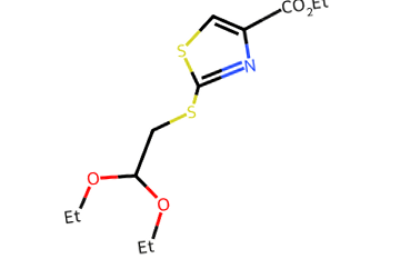 CCOC(=O)c1csc(SCC(OCC)OCC)n1